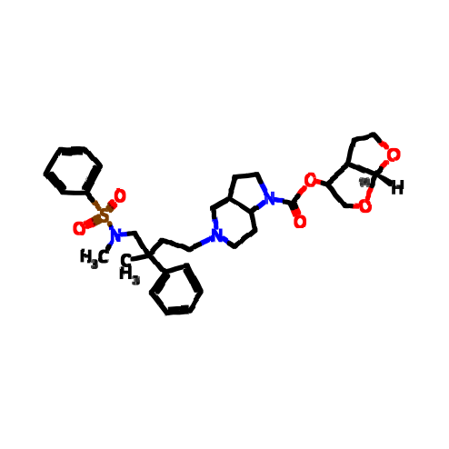 CN(CC(C)(CCN1CCC2C(CCN2C(=O)OC2CO[C@H]3OCCC23)C1)c1ccccc1)S(=O)(=O)c1ccccc1